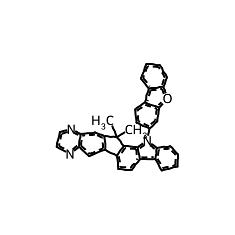 CC1(C)c2cc3nccnc3cc2-c2ccc3c4ccccc4n(-c4ccc5c(c4)oc4ccccc45)c3c21